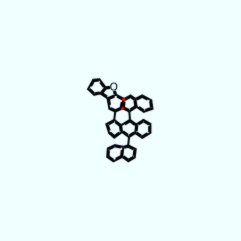 c1ccc2c(-c3c4ccccc4c(-c4cccc5ccccc45)c4c(-c5ccc6oc7ccccc7c6c5)cccc34)cccc2c1